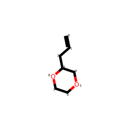 C=CC[C]1[CH]OCCO1